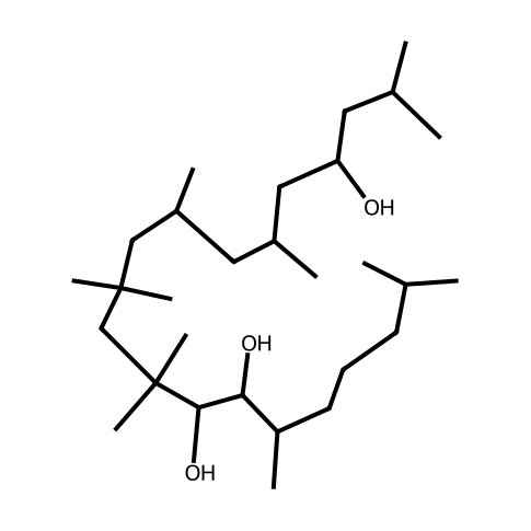 CC(C)CCCC(C)C(O)C(O)C(C)(C)CC(C)(C)CC(C)CC(C)CC(O)CC(C)C